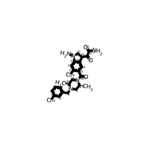 C[C@@H]1CN(Cc2cccc(Cl)c2)[C@@H](C)CN1C(=O)c1cc2c(cc1Cl)N(N)CC2C(=O)C(N)=O